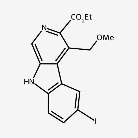 CCOC(=O)c1ncc2[nH]c3ccc(I)cc3c2c1COC